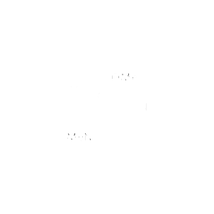 CNC(CI)C(=O)OC